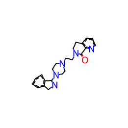 O=C1c2ncccc2CCN1CCN1CCN(C2=NCc3ccccc32)CC1